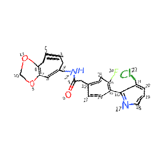 O=C(Nc1ccc2c(c1)OCO2)c1ccc(-c2ncccc2Cl)c(F)c1